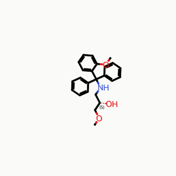 COC[C@@H](O)CNC(c1ccccc1)(c1ccccc1)c1ccccc1OC